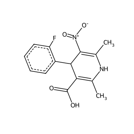 CC1=C(C(=O)O)C(c2ccccc2F)C([N+](=O)[O-])=C(C)N1